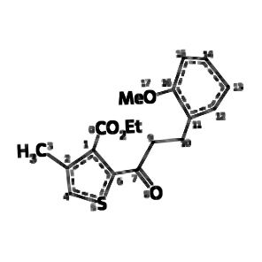 CCOC(=O)c1c(C)csc1C(=O)CCc1ccccc1OC